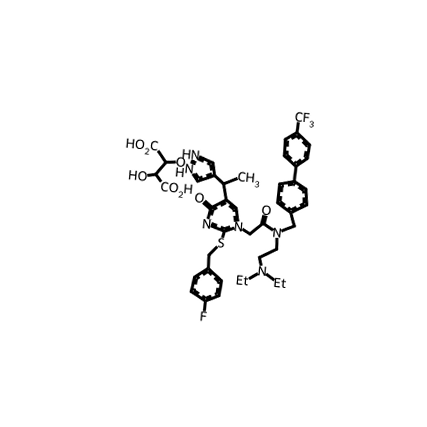 CCN(CC)CCN(Cc1ccc(-c2ccc(C(F)(F)F)cc2)cc1)C(=O)Cn1cc(C(C)c2cn[nH]c2)c(=O)nc1SCc1ccc(F)cc1.O=C(O)C(O)C(O)C(=O)O